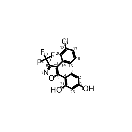 Oc1ccc(-c2onc(C(F)(F)F)c2-c2cccc(Cl)c2)c(O)c1